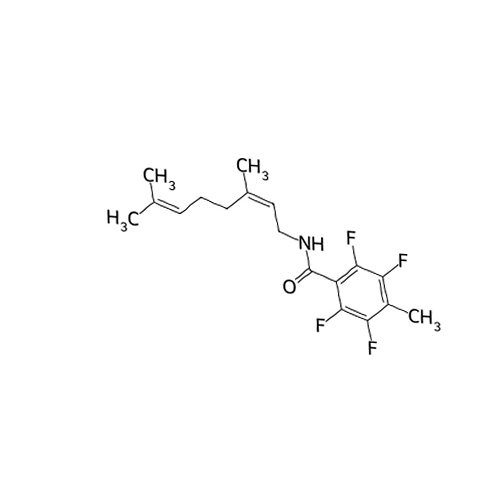 CC(C)=CCCC(C)=CCNC(=O)c1c(F)c(F)c(C)c(F)c1F